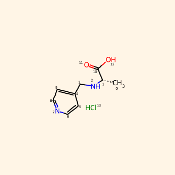 C[C@H](NCc1ccncc1)C(=O)O.Cl